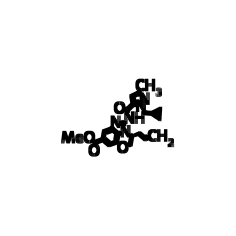 C=CC[C@H]1COc2cc(C(=O)OC)cc3nc(NC(=O)c4cc(C)nn4CC4CC4)n1c23